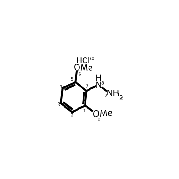 COc1cccc(OC)c1NN.Cl